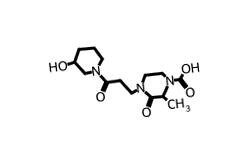 CC1C(=O)N(CCC(=O)N2CCCC(O)C2)CCN1C(=O)O